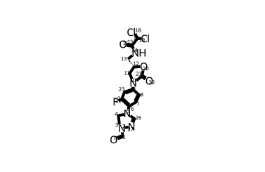 O=CN1CCN(c2ccc(N3C[C@H](CNC(=O)C(Cl)Cl)OC3=O)cc2F)C=N1